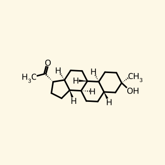 CC(=O)[C@H]1CC[C@H]2[C@@H]3CC[C@H]4C[C@](C)(O)CC[C@@H]4[C@H]3CC[C@@H]21